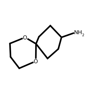 NC1CCC2(CC1)OCCCO2